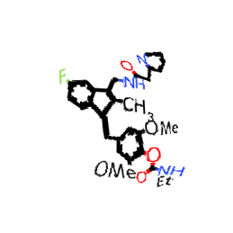 CCNC(=O)Oc1c(OC)cc(C=C2C(C)=C(CNC(=O)Cc3ccccn3)c3cc(F)ccc32)cc1OC